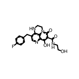 O=C(NCCO)c1c(O)c2ncc(Cc3ccc(F)cc3)c3c2n(c1=O)CCN3